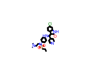 CCCS(=O)(=O)N(CCN(C)C)c1ccc(NC(=C2C(=O)Nc3cc(Cl)ccc32)c2ccncc2)cc1